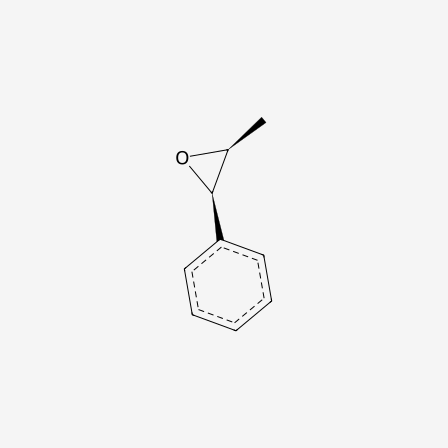 C[C@@H]1O[C@@H]1c1ccccc1